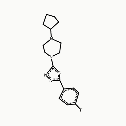 Fc1ccc(-c2nnc(N3CCN(C4CCCC4)CC3)s2)cc1